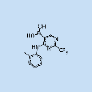 Cc1ncccc1Nc1nc(C(F)(F)F)ncc1B(O)O